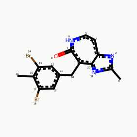 Cc1nc2cc[nH]c(=O)c(Cc3cc(Br)c(C)c(Br)c3)c-2n1